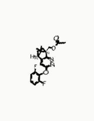 CC(=O)OC[C@@]12CC[C@@H](c3cc(Oc4c(F)cccc4F)nnc31)C2(C)C